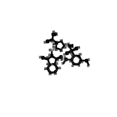 COc1ccc(OC)c(S(=O)(=O)N[C@@H]2C[C@H](CN3C(=O)c4ccccc4C3=O)N(C(=O)O)C2)c1